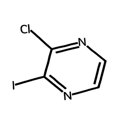 Clc1nccnc1I